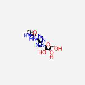 CNC(=O)Nc1ncnc2c1ncn2[C@@H]1O[C@H](CO)[C@@H](O)[C@H]1O